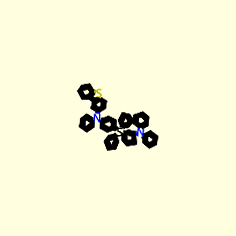 C1=Cc2sc3ccc(N(c4ccccc4)c4ccc([Si](c5ccccc5)(c5ccccc5)c5cccc(N(c6ccccc6)c6ccccc6)c5)cc4)cc3c2CC1